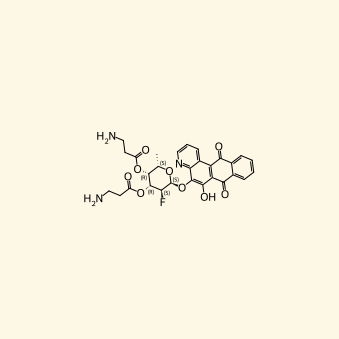 C[C@@H]1O[C@@H](Oc2c(O)c3c(c4cccnc24)C(=O)c2ccccc2C3=O)[C@@H](F)[C@H](OC(=O)CCN)[C@@H]1OC(=O)CCN